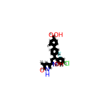 Cc1cc(C(=O)O)ccc1-c1ccc(C(C/C(=N\O)c2c[nH]c(=O)c(C)c2)c2ccc(Cl)cc2F)cc1